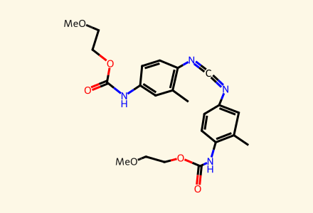 COCCOC(=O)Nc1ccc(N=C=Nc2ccc(NC(=O)OCCOC)c(C)c2)c(C)c1